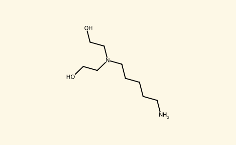 NCCCCCN(CCO)CCO